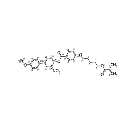 C=C(C)C(=O)OCCCCCOc1ccc(C(=O)Oc2ccc(-c3ccc(OCCC)cc3)cc2[N+](=O)[O-])cc1